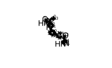 CC(C)(C)Cn1c(=O)[nH]c2nc(-c3cccc(N4CCN(C(=O)c5cn[nH]c5)CC4)c3)ccc21